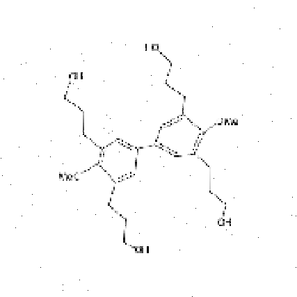 COc1c(CCCO)cc(-c2cc(CCCO)c(OC)c(CCCO)c2)cc1CCCO